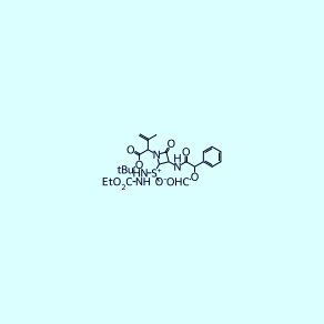 C=C(C)C(C(=O)OC(C)(C)C)N1C(=O)C(NC(=O)C(OC=O)c2ccccc2)C1[S+]([O-])NNC(=O)OCC